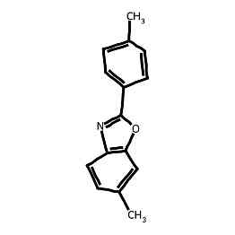 Cc1ccc(-c2nc3ccc(C)cc3o2)cc1